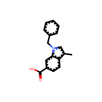 Cc1cn(Cc2ccccc2)c2cc(C(=O)O)ccc12